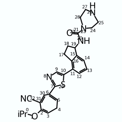 CC(C)OC1=CCC=C(c2ncc(-c3cccc4c3CCC4NC(=O)N3CCNCC3)s2)C=C1C#N